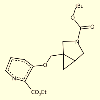 CCOC(=O)c1ncccc1OCC12CC1CN(C(=O)OC(C)(C)C)C2